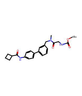 CN(Cc1cccc(-c2ccc(NC(=O)C3CCC3)cc2)c1)C(=O)CNC(=O)OC(C)(C)C